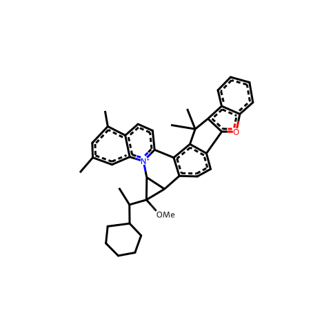 COC1(C(C)C2CCCCC2)C2c3ccc4c(c3-c3ccc5c(C)cc(C)cc5[n+]3C21)C(C)(C)c1c-4oc2ccccc12